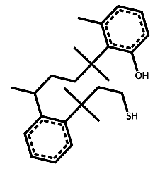 Cc1cccc(O)c1C(C)(C)CCC(C)c1ccccc1C(C)(C)CCS